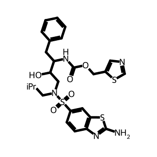 CC(C)CN(CC(O)C(Cc1ccccc1)NC(=O)OCc1cncs1)S(=O)(=O)c1ccc2nc(N)sc2c1